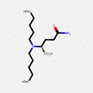 CCCCCCCCCCCCCCN(CCCCCCCCCCCCCC)[C@@H](CCC(N)=O)C(=O)O